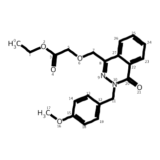 CCOC(=O)COCc1nn(Cc2ccc(OC)cc2)c(=O)c2ccccc12